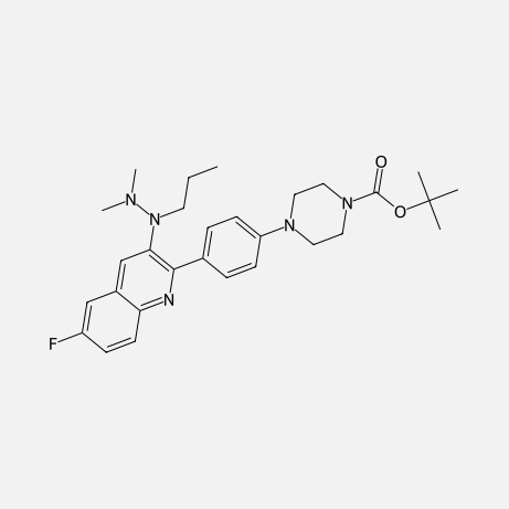 CCCN(c1cc2cc(F)ccc2nc1-c1ccc(N2CCN(C(=O)OC(C)(C)C)CC2)cc1)N(C)C